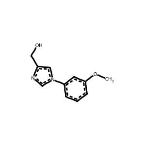 COc1cccc(-n2cnc(CO)c2)c1